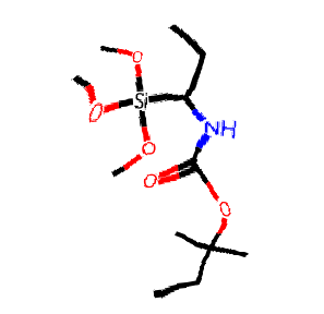 CCC(NC(=O)OC(C)(C)CC)[Si](OC)(OC)OC